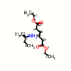 C=C(N)CC.CCOC(=O)CCCCC(=O)OCC